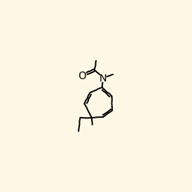 CCC1(C)C=CC=C(N(C)C(C)=O)C=C1